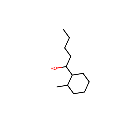 CCCCC(O)C1CCCCC1C